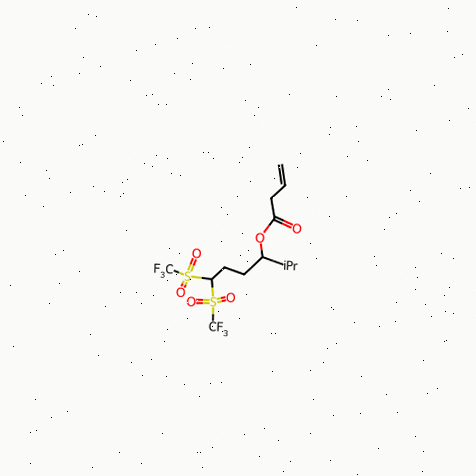 C=CCC(=O)OC(CCC(S(=O)(=O)C(F)(F)F)S(=O)(=O)C(F)(F)F)C(C)C